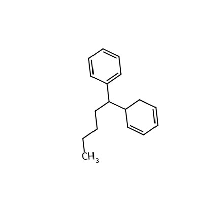 CCCCC(c1ccccc1)C1C=CC=CC1